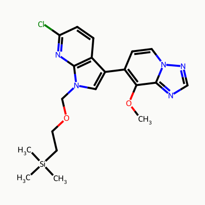 COc1c(-c2cn(COCC[Si](C)(C)C)c3nc(Cl)ccc23)ccn2ncnc12